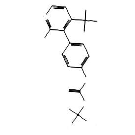 Cc1nccc(C(F)(F)F)c1-c1ccc(NC(=O)OC(C)(C)C)cc1